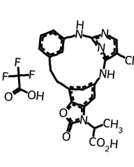 CC(C(=O)O)n1c(=O)oc2c3cc(cc21)Nc1nc(ncc1Cl)Nc1cccc(c1)CC3.O=C(O)C(F)(F)F